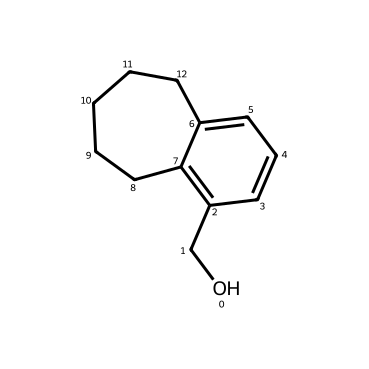 OCc1cccc2c1CCCCC2